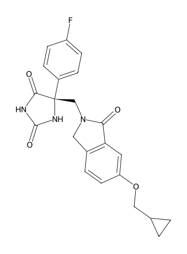 O=C1NC(=O)[C@](CN2Cc3ccc(OCC4CC4)cc3C2=O)(c2ccc(F)cc2)N1